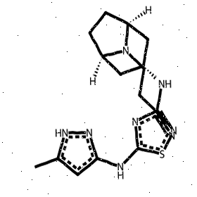 Cc1cc(Nc2nc(N[C@@H]3C[C@H]4CC[C@@H](C3)N4CCC#N)ns2)n[nH]1